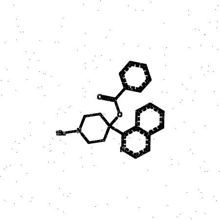 CC(C)(C)N1CCC(OC(=O)c2ccccc2)(c2nccc3ccccc23)CC1